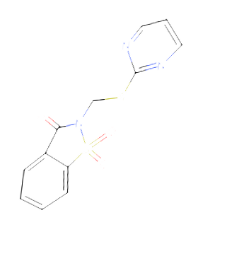 O=C1c2ccccc2S(=O)(=O)N1CSc1ncccn1